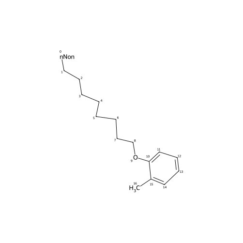 CCCCCCCCCCCCCCCCCOc1ccccc1C